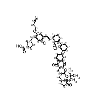 CC(C)(C)OC(=O)N(Cc1cnc2cc(-c3cccc(-c4cccc(/C=C/c5cc(OCCC#N)c(CN6CC[C@H](C(=O)O)C6)cc5Cl)c4Cl)c3Cl)ccn2c1=O)C[C@@H]1CCC(=O)N1